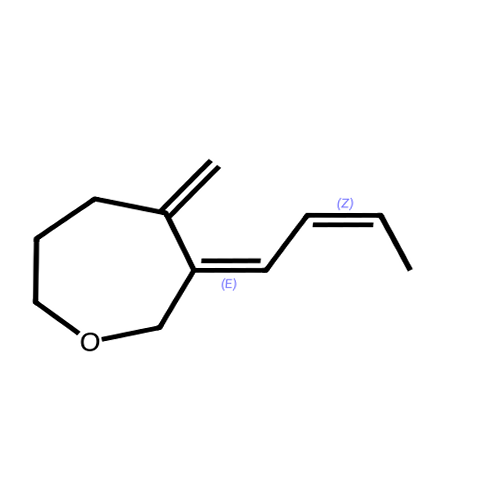 C=C1CCCOC/C1=C/C=C\C